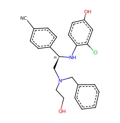 N#Cc1ccc([C@H](CN(CCO)Cc2ccccc2)Nc2ccc(O)cc2Cl)cc1